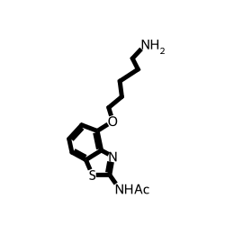 CC(=O)Nc1nc2c(OCCCCCN)cccc2s1